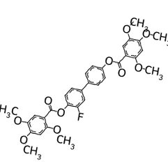 COc1cc(OC)c(C(=O)Oc2ccc(-c3ccc(OC(=O)c4cc(OC)c(OC)cc4OC)c(F)c3)cc2)cc1OC